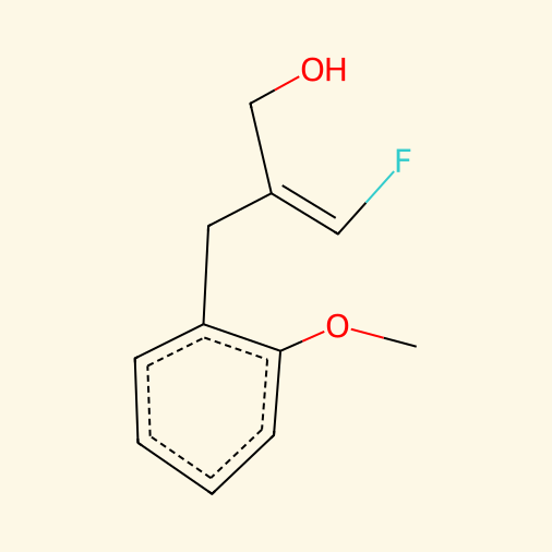 COc1ccccc1CC(=CF)CO